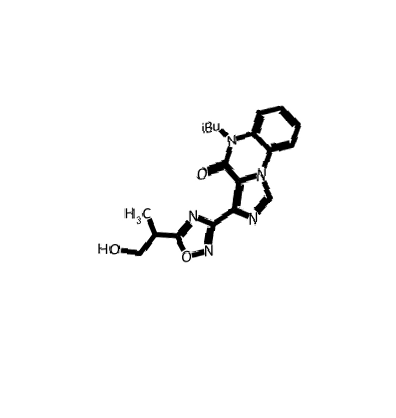 CCC(C)n1c(=O)c2c(-c3noc(C(C)CO)n3)ncn2c2ccccc21